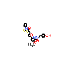 COc1ccc(-c2ccc(/C=C3\SC(=S)N(C4CC5CCC4C5)C3=O)o2)cc1C(=O)NCCc1ccc(O)cc1